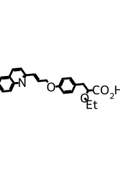 CCOC(Cc1ccc(OCC=Cc2ccc3ccccc3n2)cc1)C(=O)O